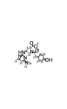 COC(=O)[C@@H]1C[C@H](Nc2nc(C)cc(N(C)C)n2)CN1C(=O)Cc1ccc(O)cc1